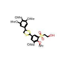 CCCOc1c(OC)cc(C2SCC(c3cc(OC)c(OC)c(OC)c3)S2)cc1S(=O)(=O)CCO